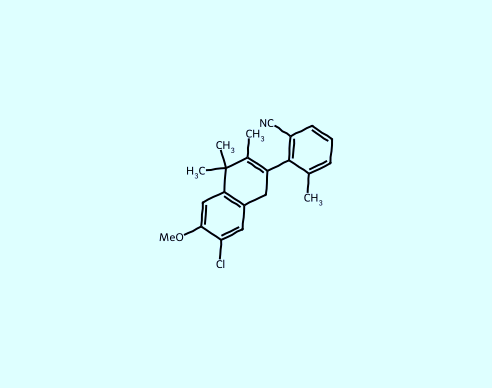 COc1cc2c(cc1Cl)CC(c1c(C)cccc1C#N)=C(C)C2(C)C